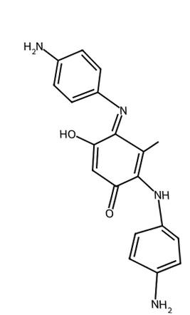 CC1=C(Nc2ccc(N)cc2)C(=O)C=C(O)C1=Nc1ccc(N)cc1